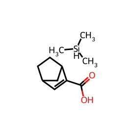 C[SiH](C)C.O=C(O)C1=CC2CCC1C2